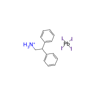 [I][Pb]([I])([I])[I].[NH3+]CC(c1ccccc1)c1ccccc1